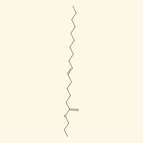 CCCCCCCCCC=CCCCCC(=O)OCCC